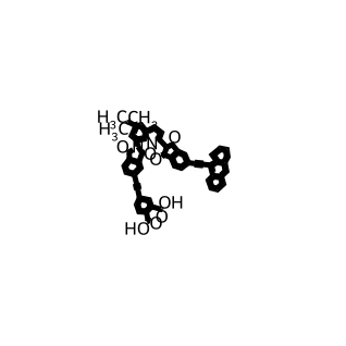 CC(C)(C)c1cc(N2C(=O)c3ccc(C#Cc4ccc(C(=O)O)c(C(=O)O)c4)cc3C2=O)c2nc(C3C(=O)c4ccc(C#Cc5c6ccccc6cc6ccccc56)cc4C3=O)ccc2c1